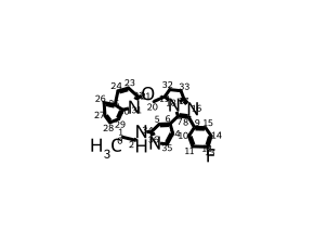 CCCNc1cc(-c2c(-c3ccc(F)cc3)nc3n2C(COc2ccc4ccccc4n2)CC3)ccn1